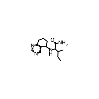 CCC(C)C(NC1CCCc2ncncc21)C(N)=O